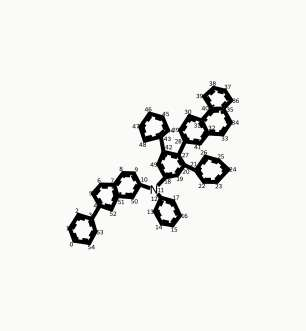 c1ccc(-c2ccc3ccc(N(c4ccccc4)c4cc(-c5ccccc5)c(-c5ccc6c(ccc7ccccc76)c5)c(-c5ccccc5)c4)cc3c2)cc1